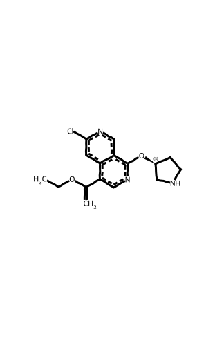 C=C(OCC)c1cnc(O[C@H]2CCNC2)c2cnc(Cl)cc12